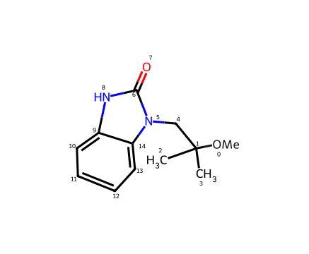 COC(C)(C)Cn1c(=O)[nH]c2ccccc21